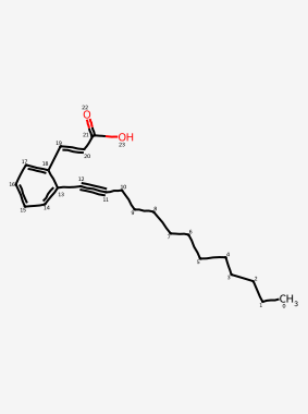 CCCCCCCCCCCC#Cc1ccccc1/C=C/C(=O)O